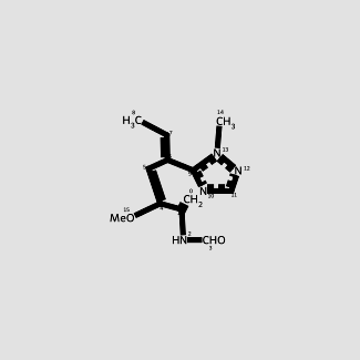 C=C(NC=O)/C(=C\C(=C/C)c1ncnn1C)OC